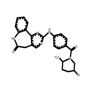 CCC1CCC(C)N(C(=O)c2ccc(Nc3ncc4c(n3)-c3ccccc3NC(=O)C4)cc2)C1